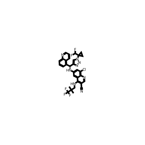 CC(C)(CNc1c(C#N)cnc2c(Cl)cc(N[C@H](c3cn(C4(C(F)F)CC4)nn3)c3cccc4ncccc34)cc12)C(F)(F)F